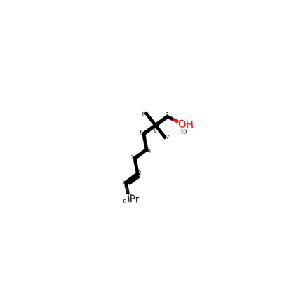 CC(C)/C=C/CCCC(C)(C)CO